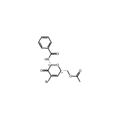 CC(=O)OC[C@@H]1C=C(Br)C(=O)[C@H](NC(=O)c2ccccc2)O1